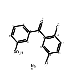 O=C(c1cccc(S(=O)(=O)O)c1)c1cc(Cl)ccc1Cl.[Na]